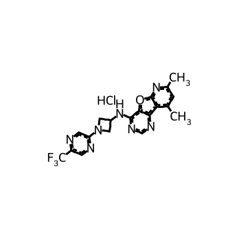 Cc1cc(C)c2c(n1)oc1c(NC3CN(c4cnc(C(F)(F)F)cn4)C3)ncnc12.Cl